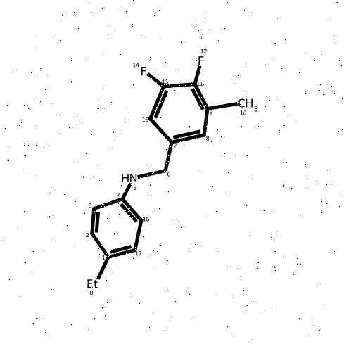 CCc1ccc(NCc2cc(C)c(F)c(F)c2)cc1